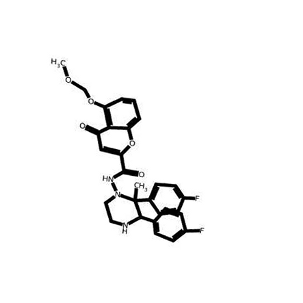 COCOc1cccc2oc(C(=O)NN3CCNC(c4ccc(F)cc4)C3(C)c3ccc(F)cc3)cc(=O)c12